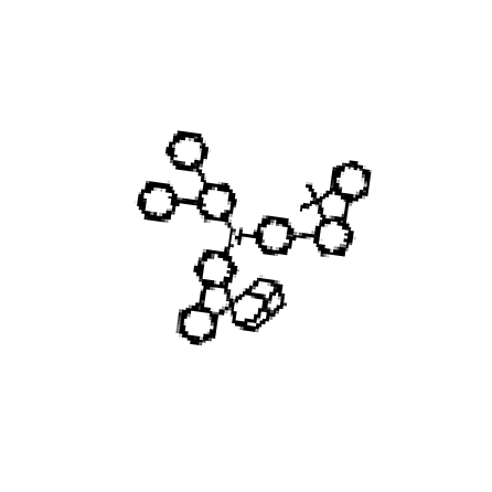 CC1(C)c2ccccc2-c2cccc(-c3ccc(N(c4ccc(-c5ccccc5)c(-c5ccccc5)c4)c4ccc5c(c4)C4(c6ccccc6-5)C5CC6CC(C5)CC4C6)cc3)c21